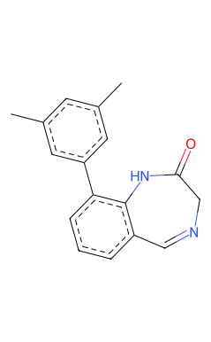 Cc1cc(C)cc(-c2cccc3c2NC(=O)CN=C3)c1